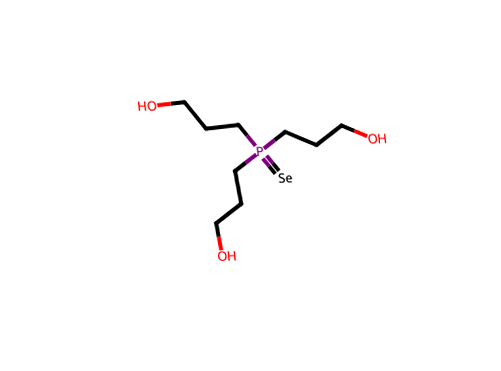 OCCCP(=[Se])(CCCO)CCCO